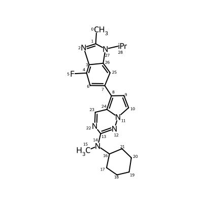 Cc1nc2c(F)cc(-c3ccn4nc(N(C)C5CCCCC5)ncc34)cc2n1C(C)C